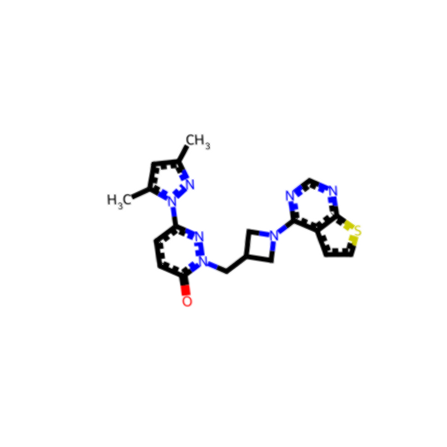 Cc1cc(C)n(-c2ccc(=O)n(CC3CN(c4ncnc5sccc45)C3)n2)n1